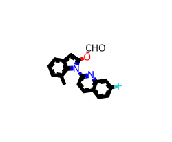 Cc1cccc2cc(OC=O)n(-c3ccc4ccc(F)cc4n3)c12